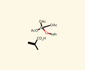 C=C(C)C(=O)O.CCCO[Si](OC(C)=O)(OC(C)=O)OC(C)=O